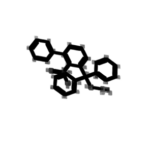 O=[N+]([O-])c1c(-c2ccccc2)cccc1C(O[SiH3])(c1ccccc1)c1ccccc1